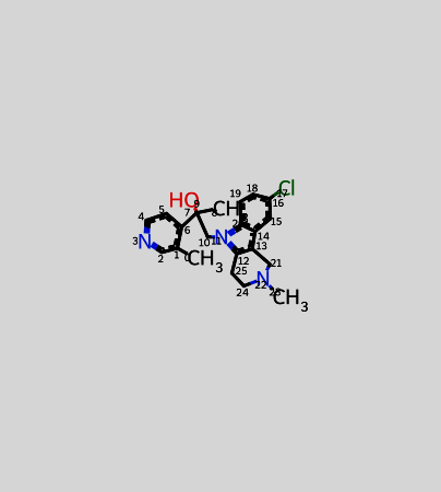 Cc1cnccc1C(C)(O)Cn1c2c(c3cc(Cl)ccc31)CN(C)CC2